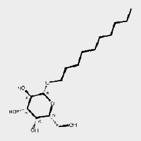 CCCCCCCCCCO[C@@H]1O[C@H](CO)[C@H](O)[C@H](O)[C@H]1O